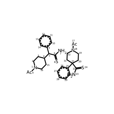 CC(=O)N1CCC(C(C(N)=S)c2ccccc2)CC1.CC(=O)N1CCC(C(N)=S)(c2ccccc2)CC1